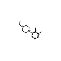 CCN1CCN(c2cccc(C)c2C)CC1